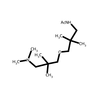 CC(=O)NCC(C)(C)COCC(C)(C)CN(C)C